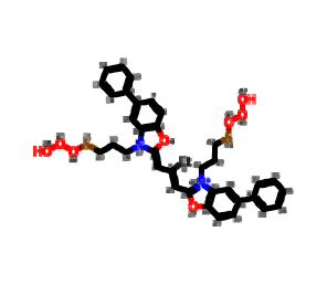 CCC(/C=C1\Oc2ccc(-c3ccccc3)cc2N1CCCSOOO)=C\c1oc2ccc(-c3ccccc3)cc2[n+]1CCCSOOO